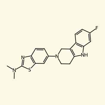 CN(C)c1nc2ccc(N3CCc4[nH]c5cc(F)ccc5c4C3)cc2s1